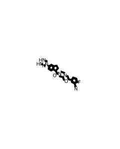 N#Cc1cc(C2CN3CCN(C(=O)C4CCc5cc(N(C=N)N=N)ccc54)CC3CO2)ccc1F